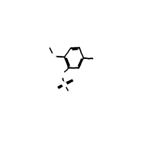 COc1ccc(C)cc1OS(=O)(=O)O